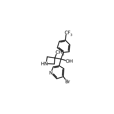 CC1(C(O)(c2ccc(C(F)(F)F)cc2)c2cncc(Br)c2)CNC1